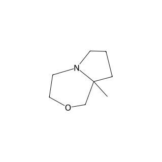 CC12CCCN1CCOC2